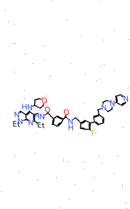 CCc1nc2c(cnn2CC)c(NC2CCOCC2)c1CNC(=O)c1cccc(C(=O)NCc2ccc(F)c(-c3cccc(CN4CCN(c5ccncc5)CC4)c3)c2)c1